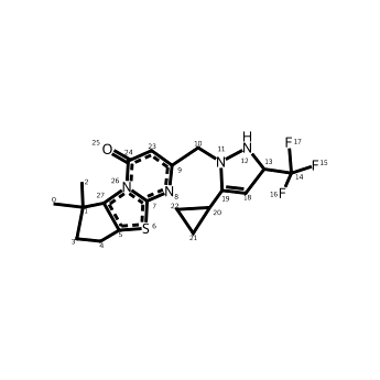 CC1(C)CCc2sc3nc(CN4NC(C(F)(F)F)C=C4C4CC4)cc(=O)n3c21